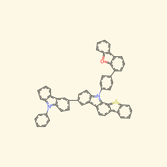 c1ccc(-n2c3ccccc3c3cc(-c4ccc5c(c4)c4ccc6c7ccccc7sc6c4n5-c4ccc(-c5cccc6c5oc5ccccc56)cc4)ccc32)cc1